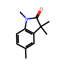 Cc1ccc2c(c1)C(C)(C)C(=O)N2C